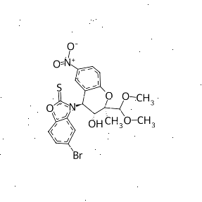 COC(OC)[C@]1(C)Oc2ccc([N+](=O)[O-])cc2[C@H](n2c(=S)oc3ccc(Br)cc32)[C@H]1O